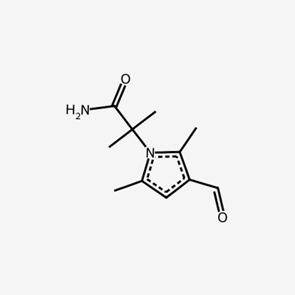 Cc1cc(C=O)c(C)n1C(C)(C)C(N)=O